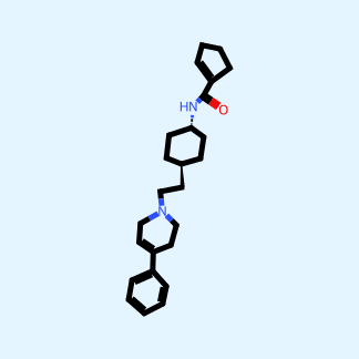 O=C(N[C@H]1CC[C@H](CCN2CC=C(c3ccccc3)CC2)CC1)C1=CCCC1